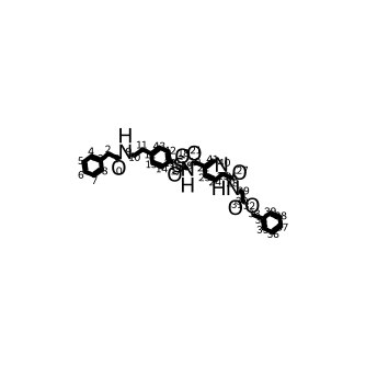 O=C(Cc1ccccc1)NCCc1ccc(S(=O)(=O)NC(=O)c2ccc(C(=O)NCC(=O)OCc3ccccc3)nc2)cc1